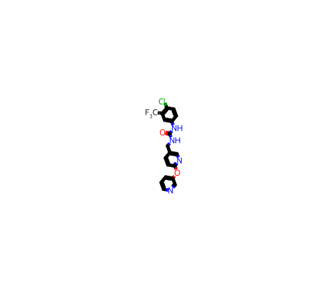 O=C(NCc1ccc(Oc2cccnc2)nc1)Nc1ccc(Cl)c(C(F)(F)F)c1